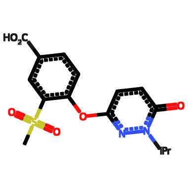 CC(C)n1nc(Oc2ccc(C(=O)O)cc2S(C)(=O)=O)ccc1=O